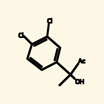 CC(=O)C(C)(O)c1ccc(Cl)c(Cl)c1